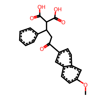 COc1ccc2cc(C(=O)CC(c3ccccc3)C(C(=O)O)C(=O)O)ccc2c1